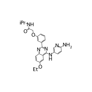 CCOc1ccc2nc(-c3cccc(OCC(=O)NC(C)C)c3)nc(Nc3ccc(N)nc3)c2c1